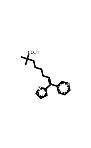 CC(C)(CCCCC=C(c1cccnc1)c1cccs1)C(=O)O